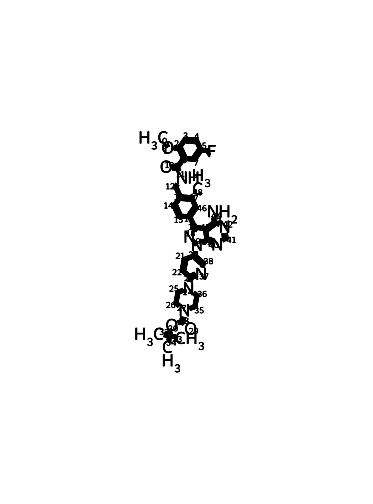 COc1ccc(F)cc1C(=O)NCc1ccc(-c2nn(-c3ccc(N4CCN(C(=O)OC(C)(C)C)CC4)nc3)c3ncnc(N)c23)cc1C